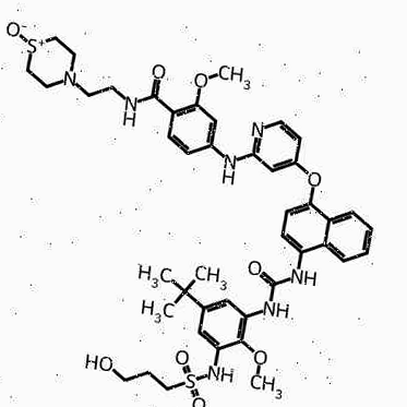 COc1cc(Nc2cc(Oc3ccc(NC(=O)Nc4cc(C(C)(C)C)cc(NS(=O)(=O)CCCO)c4OC)c4ccccc34)ccn2)ccc1C(=O)NCCN1CC[S+]([O-])CC1